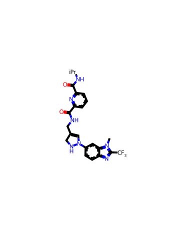 CC(C)NC(=O)c1cccc(C(=O)NCC2=CN(c3ccc4nc(C(F)(F)F)n(C)c4c3)NC2)n1